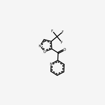 O=C(c1ccccn1)c1oncc1C(F)(F)F